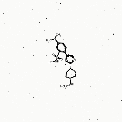 CCNS(=O)(=O)c1cc(N(C)C)ccc1-c1cnc([C@H]2CC[C@H](NC(=O)O)CC2)s1